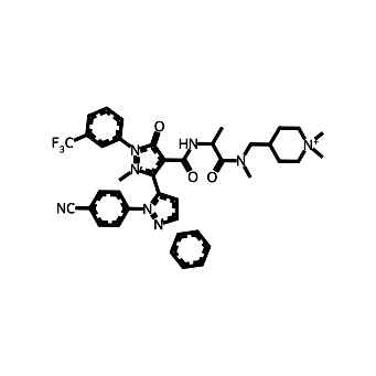 CC(NC(=O)c1c(-c2ccnn2-c2ccc(C#N)cc2)n(C)n(-c2cccc(C(F)(F)F)c2)c1=O)C(=O)N(C)CC1CC[N+](C)(C)CC1.c1ccccc1